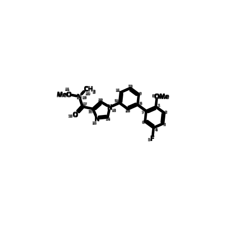 COc1ccc(F)cc1-c1cccc(-n2cnc(C(=O)N(C)OC)c2)c1